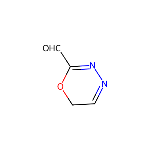 O=CC1=NN=CCO1